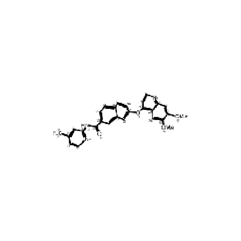 COc1cc2nccc(Oc3ccc4ccc(C(=O)Nc5cc(C(F)(F)F)ccn5)cc4c3)c2cc1OC